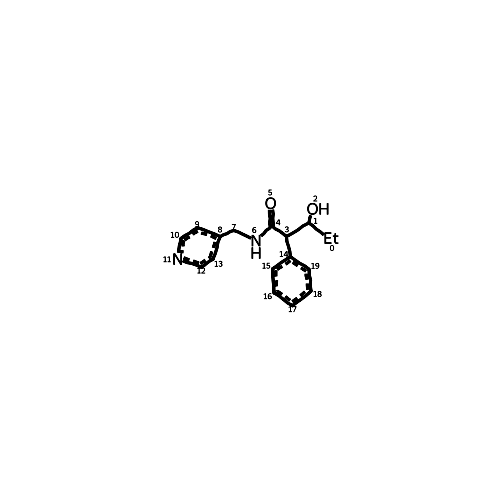 CCC(O)C(C(=O)NCc1ccncc1)c1ccccc1